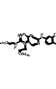 CNc1nc(Nc2ccc(Cl)c(Cl)c2)ncc1N(CCOC)C(=O)NCCOC